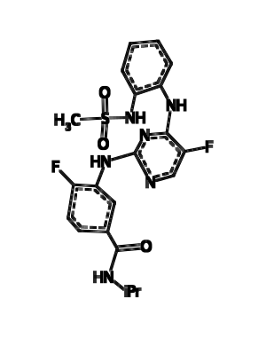 CC(C)NC(=O)c1ccc(F)c(Nc2ncc(F)c(Nc3ccccc3NS(C)(=O)=O)n2)c1